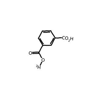 [2H]OC(=O)c1cccc(C(=O)O)c1